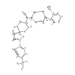 CC(C)(C)c1ccc(C2=NOC3(CCC(C(=O)N4CCN(c5ncccc5Cl)CC4)CC3)C2)cc1